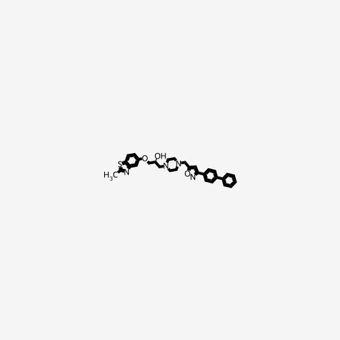 Cc1nc2cc(OC[C@H](O)CN3CCN(Cc4cc(-c5ccc(-c6ccccc6)cc5)no4)CC3)ccc2s1